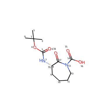 CC(C)(C)OC(=O)N[C@H]1CCCCN(C(=O)O)C1=O